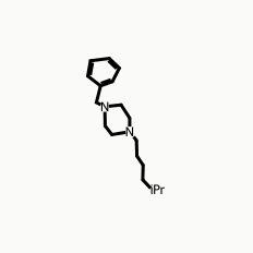 CC(C)CCCCN1CCN(Cc2ccccc2)CC1